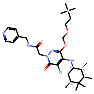 C[C@@H]1[C@@H](C)C(C)(C)[C@@H](C)C[C@H]1Nc1c(OCOCC[Si](C)(C)C)nn(CC(=O)NCc2ccncc2)c(=O)c1Cl